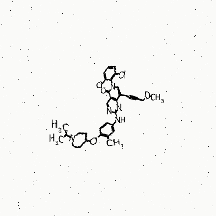 COCC#Cc1cn(-c2c(Cl)cccc2Cl)c(=O)c2cnc(Nc3ccc(OC4CCN(C(C)C)CC4)c(C)c3)nc12